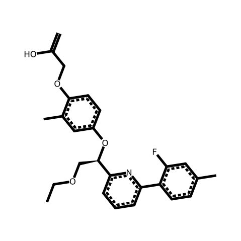 C=C(O)COc1ccc(O[C@H](COCC)c2cccc(-c3ccc(C)cc3F)n2)cc1C